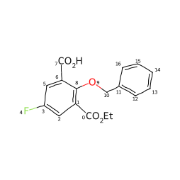 CCOC(=O)c1cc(F)cc(C(=O)O)c1OCc1ccccc1